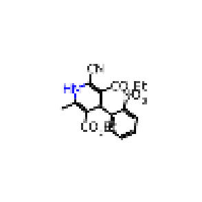 CCOC(=O)C1=C(C)NC(C#N)=C(C(=O)OCC)C1c1ccccc1[N+](=O)[O-]